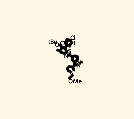 COCCN1CCCC(c2nn(C)c3ccc(-c4nc5cc(C)c([C@H](OC(C)(C)C)C(=O)O)c(-c6ccc(Cl)cc6)c5s4)cc23)C1